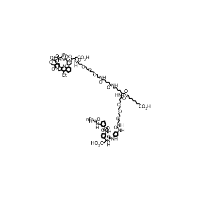 CCCNC(=O)Nc1cccc(S(=O)(=O)Nc2cccc(C(CC(=O)O)NC(=O)Nc3ccc(NC(=O)NCCOCCOCCOCCC(=O)NC(CCCCNC(=O)CCCC(=O)NCCOCCOCCOCCC(=O)NC(CC(=O)O)C(=O)N4CCCC4C(=O)NC(C(=O)OC4(CC)C(=O)OCc5c4cc4n(c5=O)Cc5c-4nc4ccccc4c5CC)C(C)C)C(=O)NCCCCCCCC(=O)O)cc3)c2)c1